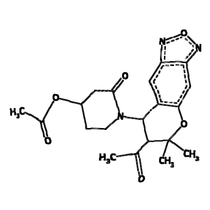 CC(=O)OC1CCN(C2c3cc4nonc4cc3OC(C)(C)C2C(C)=O)C(=O)C1